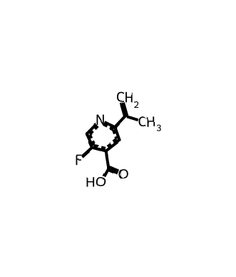 C=C(C)c1cc(C(=O)O)c(F)cn1